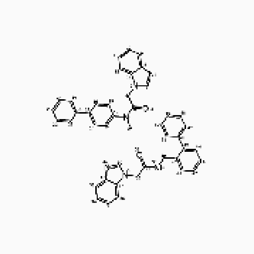 CN(C(=O)Cn1cnc2ccccc21)c1ccc(-c2ccccc2)cc1.O=C(Cn1cnc2ccccc21)NCc1ccccc1-c1ccccc1